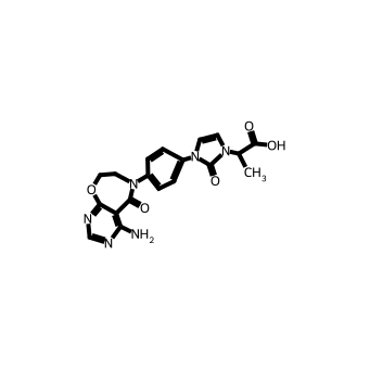 CC(C(=O)O)n1ccn(-c2ccc(N3CCOc4ncnc(N)c4C3=O)cc2)c1=O